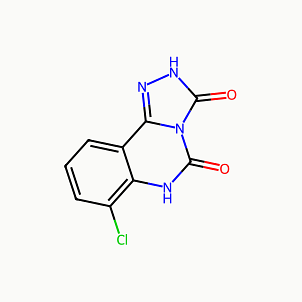 O=c1[nH]nc2c3cccc(Cl)c3[nH]c(=O)n12